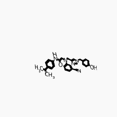 CC(C)c1ccc(NC(=O)CN(Cc2cn(Cc3ccc(O)cc3)cn2)c2cccc(C#N)c2)cc1